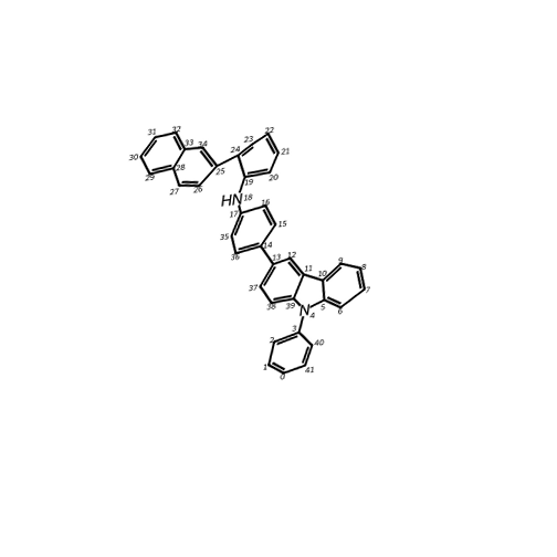 c1ccc(-n2c3ccccc3c3cc(-c4ccc(Nc5ccccc5-c5ccc6ccccc6c5)cc4)ccc32)cc1